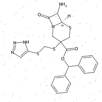 NC1C(=O)N2CC(SCSc3cnn[nH]3)(C(=O)OC(c3ccccc3)c3ccccc3)CS[C@H]12